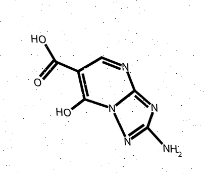 Nc1nc2ncc(C(=O)O)c(O)n2n1